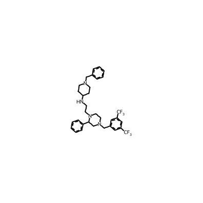 FC(F)(F)c1cc(CN2CCN(CCNC3CCN(Cc4ccccc4)CC3)C(c3ccccc3)C2)cc(C(F)(F)F)c1